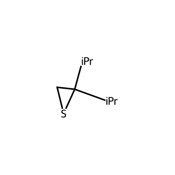 CC(C)C1(C(C)C)CS1